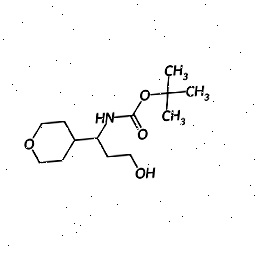 CC(C)(C)OC(=O)NC(CCO)C1CCOCC1